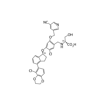 N#Cc1cncc(COc2cc(O[C@H]3CCc4c(-c5ccc6c(c5Cl)OCCO6)cccc43)c(Cl)cc2CN[C@@H](CO)C(=O)O)c1